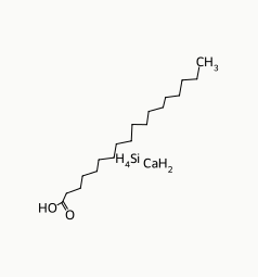 CCCCCCCCCCCCCCCCCC(=O)O.[CaH2].[SiH4]